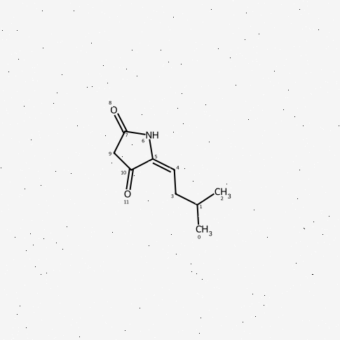 CC(C)CC=C1NC(=O)CC1=O